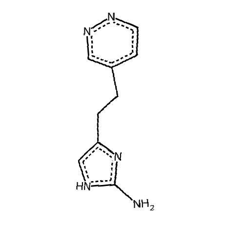 Nc1nc(CCc2ccnnc2)c[nH]1